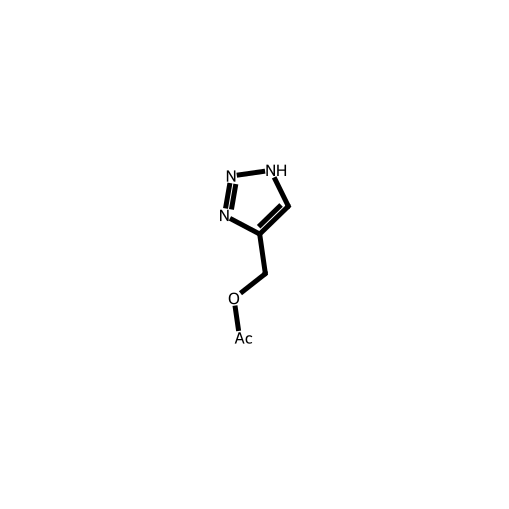 CC(=O)OCc1c[nH]nn1